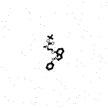 CN(CCOc1cccc2ccn(Sc3ccccc3)c12)C(=O)OC(C)(C)C